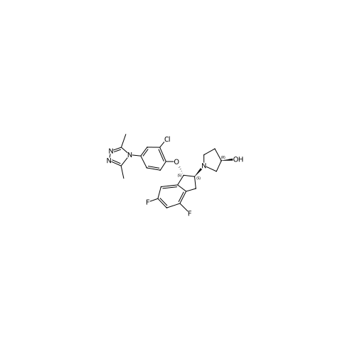 Cc1nnc(C)n1-c1ccc(O[C@H]2c3cc(F)cc(F)c3C[C@@H]2N2CC[C@@H](O)C2)c(Cl)c1